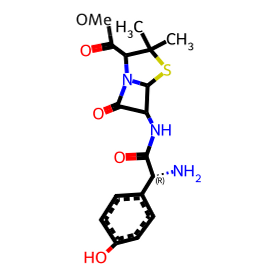 [CH2]OC(=O)C1N2C(=O)C(NC(=O)[C@H](N)c3ccc(O)cc3)C2SC1(C)C